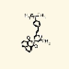 CC1=CC(N2C(=O)c3cccc4cccc(c34)C2=O)C=C(C=Cc2ccc(N(C)C)cc2)O1